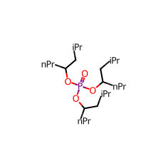 CCCC(CC(C)C)OP(=O)(OC(CCC)CC(C)C)OC(CCC)CC(C)C